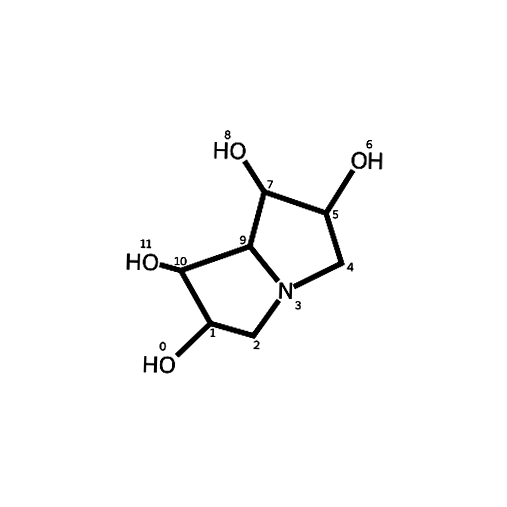 OC1CN2CC(O)C(O)C2C1O